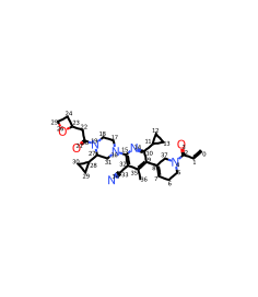 C=CC(=O)N1CCC=C(c2c(C3CC3)nc(N3CCN(C(=O)CC4CCO4)C(C4CC4)C3)c(C#N)c2C)C1